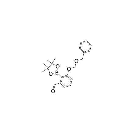 CC1(C)OB(c2c(C=O)cccc2OCOCc2ccccc2)OC1(C)C